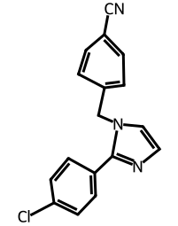 N#Cc1ccc(Cn2ccnc2-c2ccc(Cl)cc2)cc1